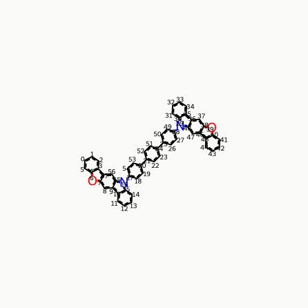 c1ccc2c(c1)oc1cc3c4ccccc4n(-c4ccc(-c5ccc(-c6ccc(-n7c8ccccc8c8cc9oc%10ccccc%10c9cc87)cc6)cc5)cc4)c3cc12